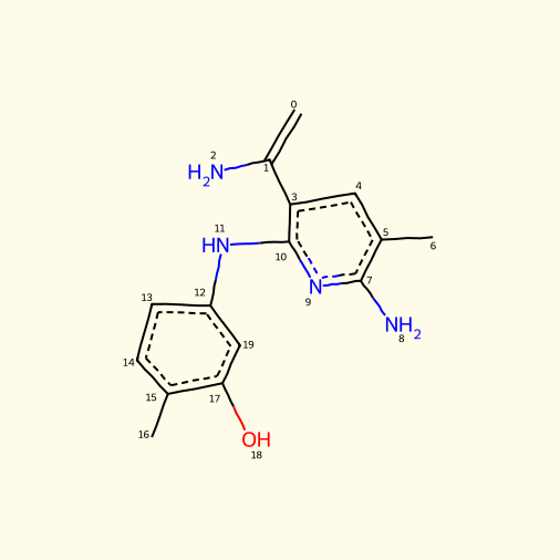 C=C(N)c1cc(C)c(N)nc1Nc1ccc(C)c(O)c1